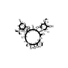 CC[C@H]1OC(=O)[C@H](C)[C@@H](O[C@H]2C[C@@](C)(OC)C(O)[C@H](C)O2)[C@H](C)[C@@H](O[C@@H]2O[C@H](C)C[C@H](N(C)C)[C@H]2O)[C@](C)(O)C[C@@H](C)CN(C)[C@H](C)[C@@H](O)[C@]1(C)O